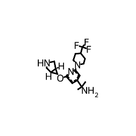 CC(C)(N)c1cc(O[C@H]2[C@@H]3CNC[C@@H]32)nc(N2CCC(C(F)(F)F)CC2)c1